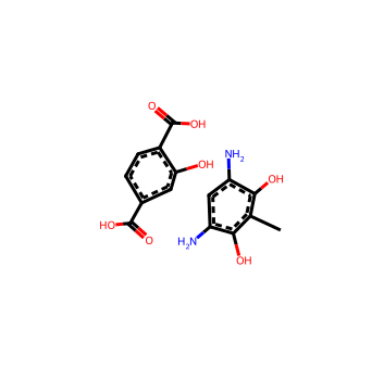 Cc1c(O)c(N)cc(N)c1O.O=C(O)c1ccc(C(=O)O)c(O)c1